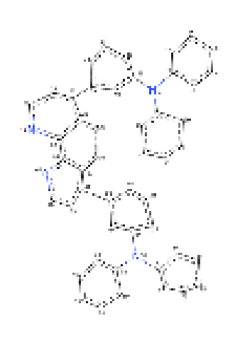 c1ccc(N(c2ccccc2)c2cccc(-c3ccnc4c3ccc3c(-c5cccc(N(c6ccccc6)c6ccccc6)c5)ccnc34)c2)cc1